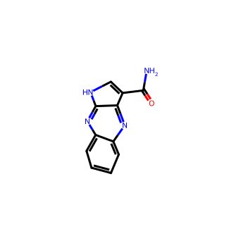 NC(=O)c1c[nH]c2nc3ccccc3nc12